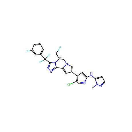 Cn1nccc1Nc1cc(-c2cc3n(c2)C[C@H](CF)n2c-3nnc2C(F)(F)c2cccc(F)c2)c(Cl)cn1